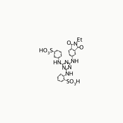 CCN1C(=O)c2ccc(Nc3nc(Nc4cccc(S(=O)(=O)O)c4)nc(Nc4ccccc4S(=O)(=O)O)n3)cc2C1=O